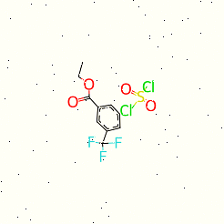 CCOC(=O)c1cccc(C(F)(F)F)c1.O=S(=O)(Cl)Cl